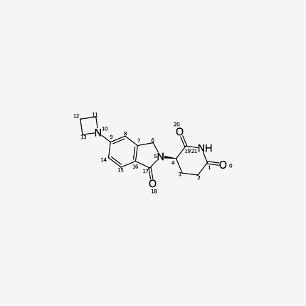 O=C1CC[C@@H](N2Cc3cc(N4CCC4)ccc3C2=O)C(=O)N1